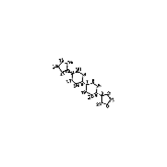 C1CCC(C2CCC(C3CCC(C4CCCC4)CC3)CC2)C1